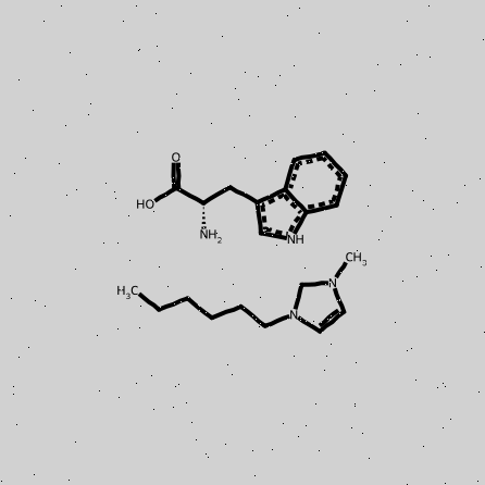 CCCCCCN1C=CN(C)C1.N[C@@H](Cc1c[nH]c2ccccc12)C(=O)O